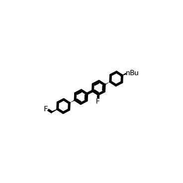 CCCC[C@H]1CC[C@H](c2ccc(-c3ccc([C@H]4CC[C@H](CF)CC4)cc3)c(F)c2)CC1